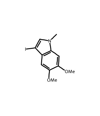 COc1cc2c(I)cn(C)c2cc1OC